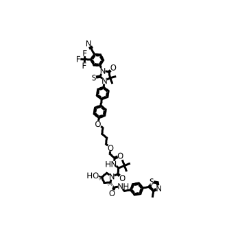 Cc1ncsc1-c1ccc(CNC(=O)[C@@H]2C[C@@H](O)CN2C(=O)C(NC(=O)COCCCCOc2ccc(-c3ccc(N4C(=S)N(c5ccc(C#N)c(C(F)(F)F)c5)C(=O)C4(C)C)cc3)cc2)C(C)(C)C)cc1